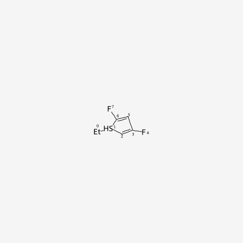 [CH2]C[SH]1C=C(F)C=C1F